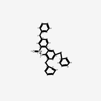 O=[PH]1Oc2c(Cc3ccccc3)cc(Cc3ccccc3)cc2-c2ccc(Cc3ccccc3)cc21